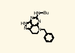 CCC(C)Nc1nc2c3c(n[nH]c3n1)CCN2Cc1ccccc1